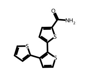 NC(=O)c1ccc(-c2sccc2-c2cccs2)s1